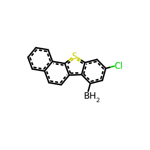 Bc1cc(Cl)cc2sc3c4ccccc4ccc3c12